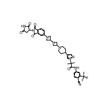 CC(C)(C(=O)Nc1ccc(C#N)c(C(F)(F)F)c1)n1cc(C2CCN(C3CN(C4CN(c5ccc6c(c5)C(=O)N(C5CC(=O)NC5=O)C6=O)C4)C3)CC2)cn1